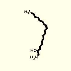 CCCCCCCC/C=C\CCCCCCCCC(O)CN